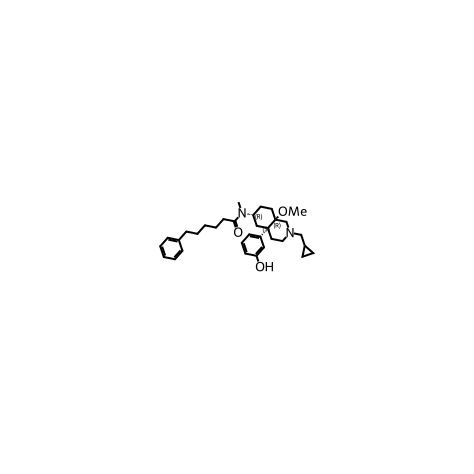 CO[C@]12CC[C@@H](N(C)C(=O)CCCCCc3ccccc3)C[C@]1(c1cccc(O)c1)CCN(CC1CC1)C2